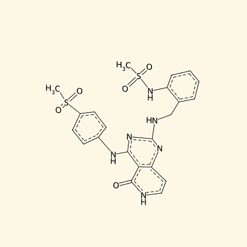 CS(=O)(=O)Nc1ccccc1CNc1nc(Nc2ccc(S(C)(=O)=O)cc2)c2c(=O)[nH]ccc2n1